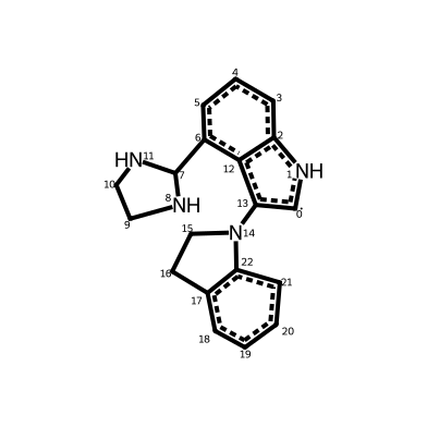 [c]1[nH]c2cccc(C3NCCN3)c2c1N1CCc2ccccc21